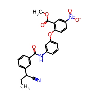 CCC(C#N)c1cccc(C(=O)Nc2cccc(Oc3ccc([N+](=O)[O-])cc3C(=O)OC)c2)c1